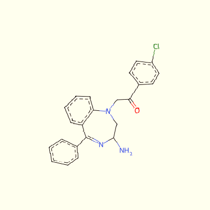 NC1CN(CC(=O)c2ccc(Cl)cc2)c2ccccc2C(c2ccccc2)=N1